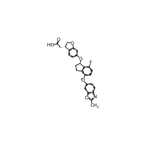 Cc1nc2ccc(Oc3ccc(F)c4c3CC[C@H]4Oc3ccc4c(c3)OC[C@H]4CC(=O)O)cc2o1